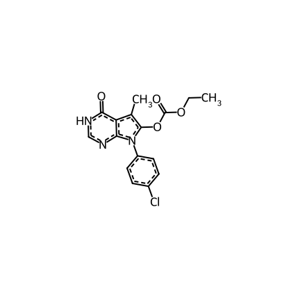 CCOC(=O)Oc1c(C)c2c(=O)[nH]cnc2n1-c1ccc(Cl)cc1